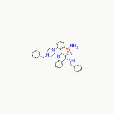 N#Cc1c(-c2c(C(N)=O)cccc2N2CCN(Cc3ccccc3)CC2)nc2ccccc2c1NCc1ccccc1